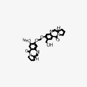 COc1cc2c(cc1OCOc1cc3c(cc1CO)C(=O)N1CCC[C@H]1C=N3)N=C[C@@H]1CCCN1C2=O